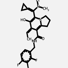 C/C=C1/C(O)=C(C(=C2CC2)N(C)CC)N2CCCC2=C1C(=O)NCc1ccc(F)c(F)c1F